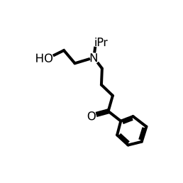 CC(C)N(CCO)CCCC(=O)c1ccccc1